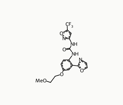 COCCOc1ccc(NC(=O)Nc2cc(C(F)(F)F)on2)c(-c2ncco2)c1